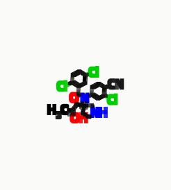 C[C@H](O)C(=O)[C@]1(N(Cc2cc(Cl)ccc2Cl)c2ccc(C#N)c(Cl)c2)CCNC1